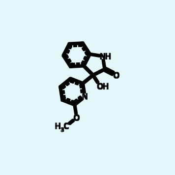 COc1cccc(C2(O)C(=O)Nc3ccccc32)n1